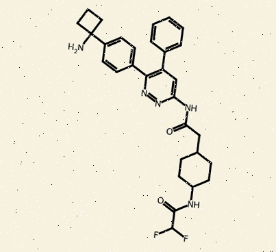 NC1(c2ccc(-c3nnc(NC(=O)CC4CCC(NC(=O)C(F)F)CC4)cc3-c3ccccc3)cc2)CCC1